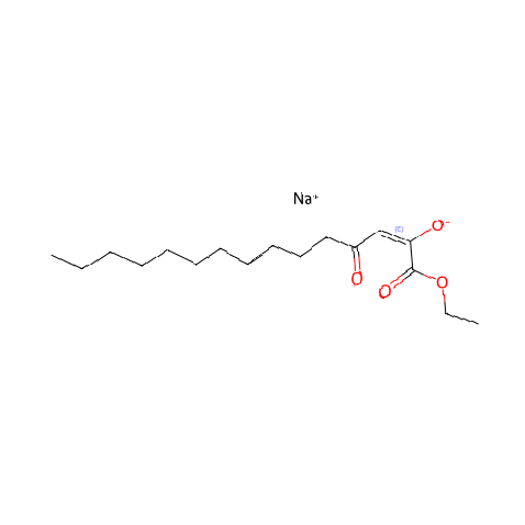 CCCCCCCCCCCC(=O)/C=C(/[O-])C(=O)OCC.[Na+]